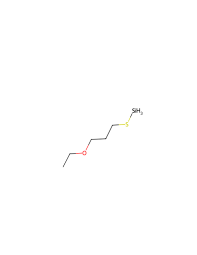 CCOCCCS[SiH3]